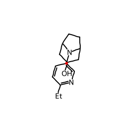 CCc1ccc(N2C3CCC2CC(O)C3)cn1